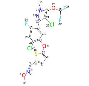 CO/N=C/c1ccc(Oc2cc(-c3nn(C)c(OC(F)F)c3Cl)c(F)cc2Cl)s1